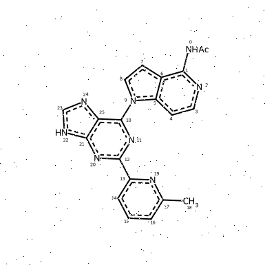 CC(=O)Nc1nccc2c1ccn2-c1nc(-c2cccc(C)n2)nc2[nH]cnc12